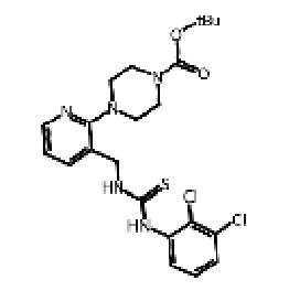 CC(C)(C)OC(=O)N1CCN(c2ncccc2CNC(=S)Nc2cccc(Cl)c2Cl)CC1